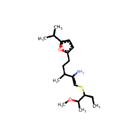 CCC(S/C=C(\N)C(C)CCc1ccc(C(C)C)o1)C(C)OC